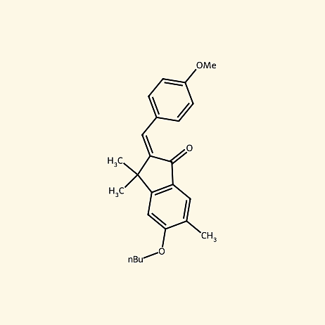 CCCCOc1cc2c(cc1C)C(=O)/C(=C\c1ccc(OC)cc1)C2(C)C